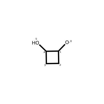 [O]C1CCC1O